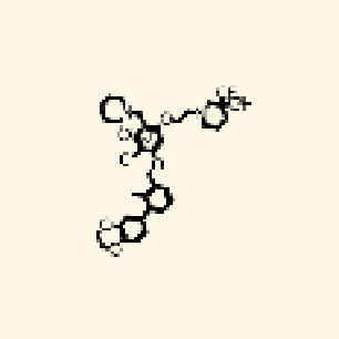 Cc1c(COc2cc(OCCN3CCCC(O)(C(F)(F)F)C3)c(CN3CCCC[C@H]3C(=O)O)cc2Cl)cccc1-c1ccc2c(c1)OCCO2